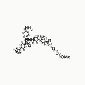 COCCOCCOCCNC(=O)c1ccc(-c2cccc(C[C@H](NC(=O)C3CCC(CN)CC3)C(=O)Nc3ccc(-c4nnn[nH]4)cc3)c2)c(C)c1